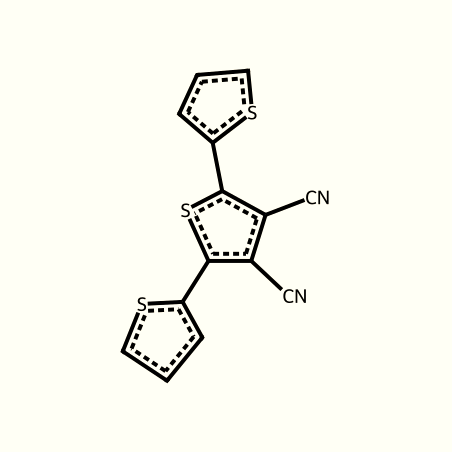 N#Cc1c(-c2cccs2)sc(-c2cccs2)c1C#N